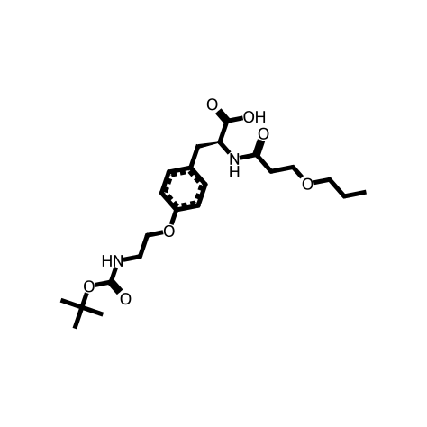 CCCOCCC(=O)N[C@@H](Cc1ccc(OCCNC(=O)OC(C)(C)C)cc1)C(=O)O